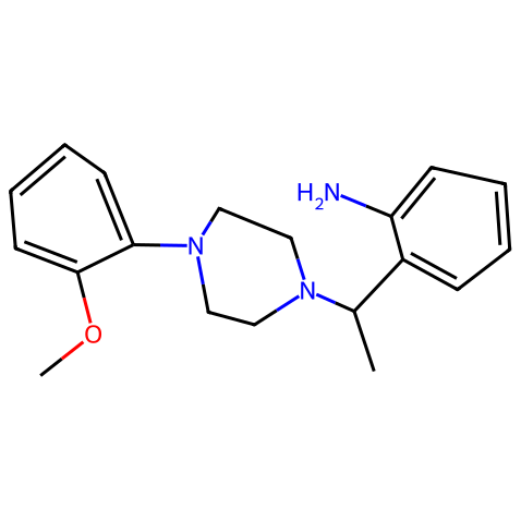 COc1ccccc1N1CCN(C(C)c2ccccc2N)CC1